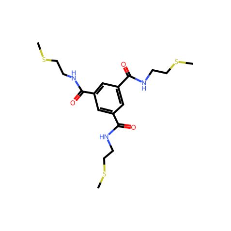 CSCCNC(=O)c1cc(C(=O)NCCSC)cc(C(=O)NCCSC)c1